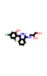 OCC(O)CNc1nnc(-c2c(O)cc(Cl)cc2F)c2ccccc12